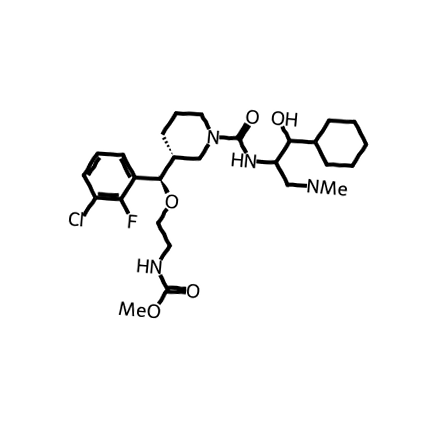 CNCC(NC(=O)N1CCC[C@@H]([C@@H](OCCNC(=O)OC)c2cccc(Cl)c2F)C1)C(O)C1CCCCC1